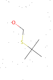 CC(C)(C)SC[O]